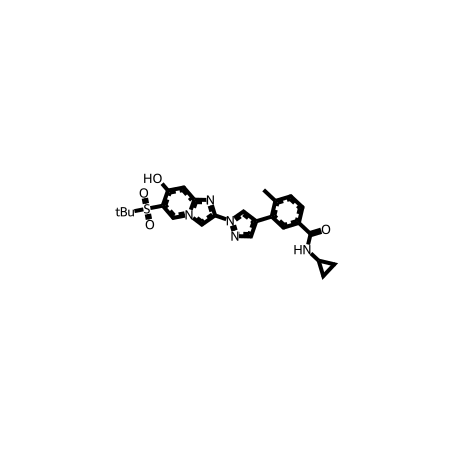 Cc1ccc(C(=O)NC2CC2)cc1-c1cnn(-c2cn3cc(S(=O)(=O)C(C)(C)C)c(O)cc3n2)c1